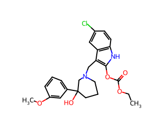 CCOC(=O)Oc1[nH]c2ccc(Cl)cc2c1CN1CCCC(O)(c2cccc(OC)c2)C1